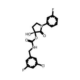 O=C(NCc1cc(F)cc(Cl)c1)O[C@]1(O)CCN(c2cccc(F)c2)C1=O